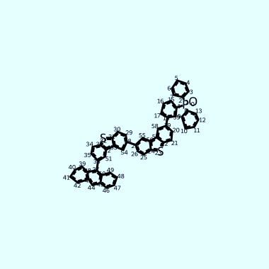 O=P(c1ccccc1)(c1ccccc1)c1cccc(-c2ccc3sc4ccc(-c5ccc6sc7ccc(-c8c9ccccc9cc9ccccc89)cc7c6c5)cc4c3c2)c1